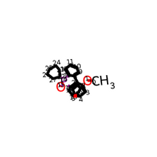 COc1ccccc1-c1ccccc1P(=O)(C1CCCCC1)C1CCCCC1